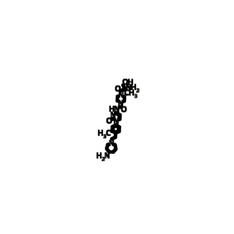 Cc1cc(-n2ccc(NC(=O)N3CCN(C(=O)C(C)(N)CO)CC3)nc2=O)ccc1CCN1CCCC(N)CC1